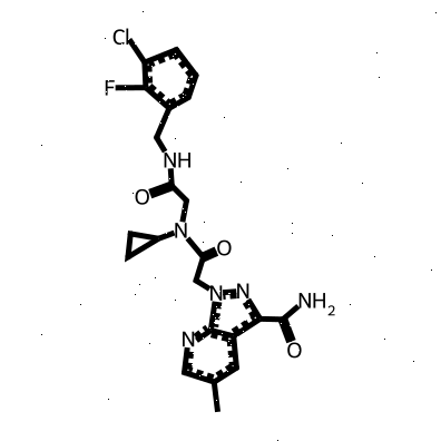 Cc1cnc2c(c1)c(C(N)=O)nn2CC(=O)N(CC(=O)NCc1cccc(Cl)c1F)C1CC1